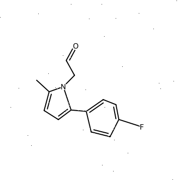 Cc1ccc(-c2ccc(F)cc2)n1CC=O